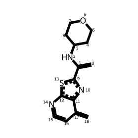 C=C(NC1CCOCC1)c1nc2c(s1)N=C=CC2=C